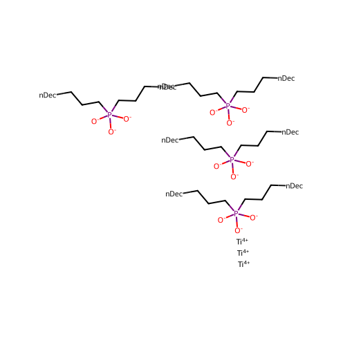 CCCCCCCCCCCCCP([O-])([O-])([O-])CCCCCCCCCCCCC.CCCCCCCCCCCCCP([O-])([O-])([O-])CCCCCCCCCCCCC.CCCCCCCCCCCCCP([O-])([O-])([O-])CCCCCCCCCCCCC.CCCCCCCCCCCCCP([O-])([O-])([O-])CCCCCCCCCCCCC.[Ti+4].[Ti+4].[Ti+4]